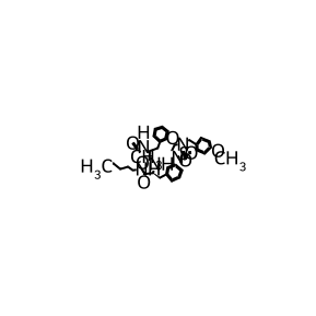 CCCCCNC(=O)[C@H](Cc1cccc(N2CC(=O)N(Cc3ccc(OC)cc3)S2(=O)=O)c1)NC(=O)C(Cc1ccccc1)NC(C)=O